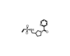 C=CS(=O)(=O)NCC1CCN(C(=O)c2ccccn2)C1